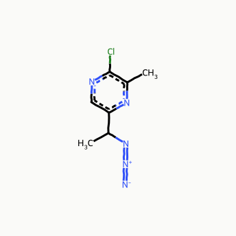 Cc1nc(C(C)N=[N+]=[N-])cnc1Cl